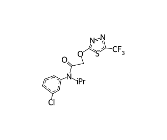 CC(C)N(C(=O)COc1nnc(C(F)(F)F)s1)c1cccc(Cl)c1